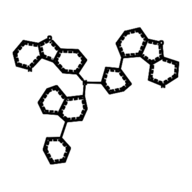 c1ccc(-c2ccc(N(c3cccc(-c4cccc5oc6ccncc6c45)c3)c3ccc4oc5cccnc5c4c3)c3ccccc23)cc1